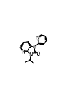 CC(C)n1c(=O)n(-c2ccccn2)c2cccnc21